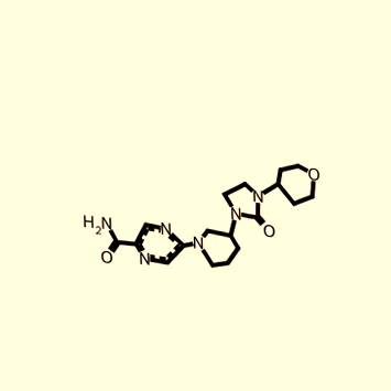 NC(=O)c1cnc(N2CCCC(N3CCN(C4CCOCC4)C3=O)C2)cn1